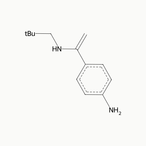 C=C(NCC(C)(C)C)c1ccc(N)cc1